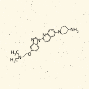 CN(C)CCOc1ccc2c(c1)ncn2-c1ccc2cc(N3CCC(N)CC3)ccc2n1